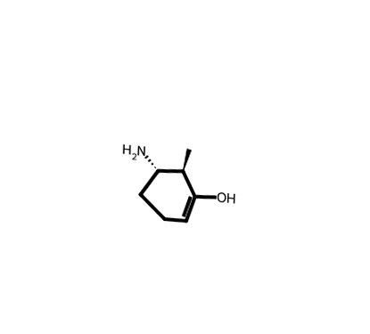 C[C@H]1C(O)=CCC[C@@H]1N